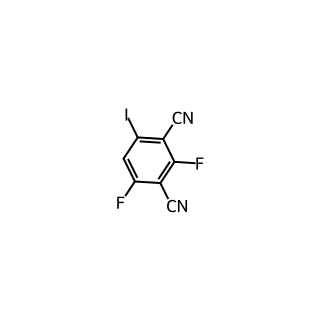 N#Cc1c(F)cc(I)c(C#N)c1F